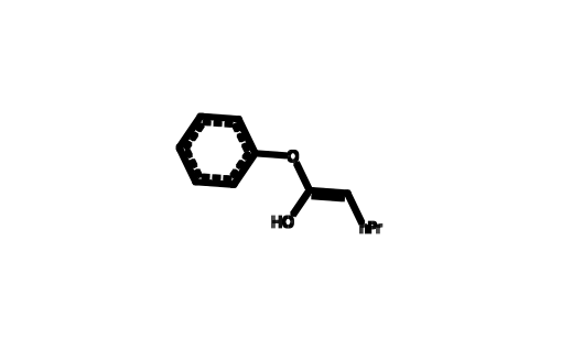 CCCC=C(O)Oc1ccccc1